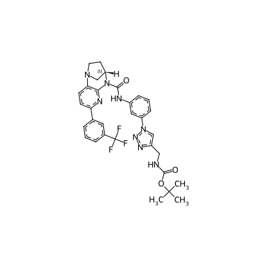 CC(C)(C)OC(=O)NCc1cn(-c2cccc(NC(=O)N3c4nc(-c5cccc(C(F)(F)F)c5)ccc4N4CC[C@H]3C4)c2)nn1